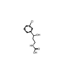 O=C(O)NCCC(O)c1cccc(Cl)c1